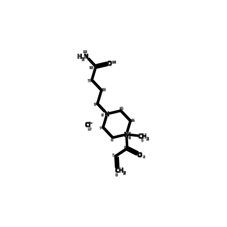 C=CC(=O)[N+]1(C)CCN(CCCC(N)=O)CC1.[Cl-]